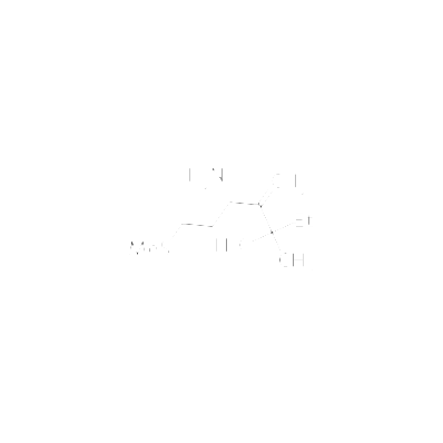 C=C([C@@H](N)CCSC)C(C)(C)CC